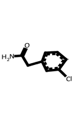 NC(=O)Cc1cc[c]c(Cl)c1